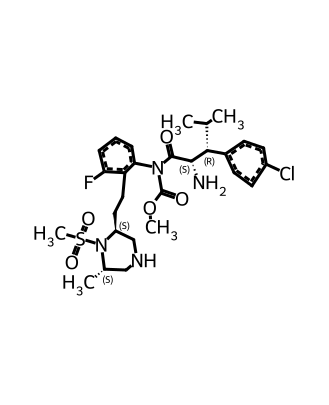 COC(=O)N(C(=O)[C@@H](N)[C@@H](c1ccc(Cl)cc1)C(C)C)c1cccc(F)c1CC[C@H]1CNC[C@H](C)N1S(C)(=O)=O